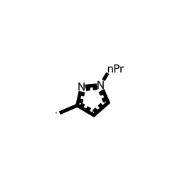 [CH2]c1ccn(CCC)n1